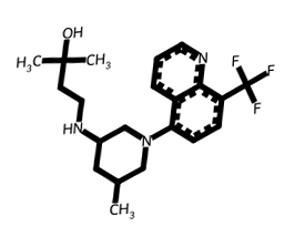 CC1CC(NCCC(C)(C)O)CN(c2ccc(C(F)(F)F)c3ncccc23)C1